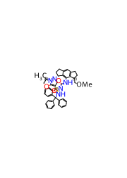 COC[C@@H]1CCc2cc3c(c(NC(=O)N=[S@](=O)(NC(c4ccccc4)(c4ccccc4)c4ccccc4)c4cnn5c4OC[C@H]5C)c21)CCC3